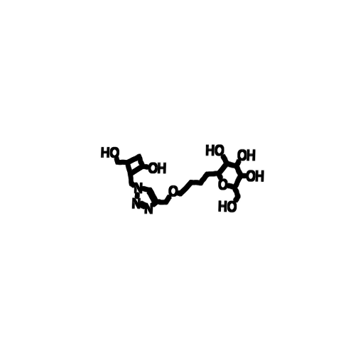 OCC1CC(O)C1Cn1cc(COCCCCC2OC(CO)C(O)C(O)C2O)nn1